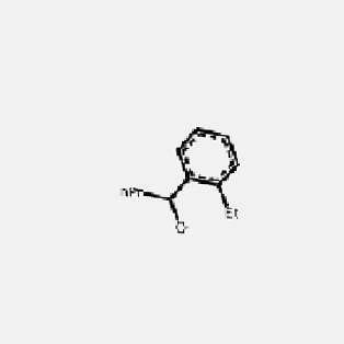 CCCC([O])c1ccccc1CC